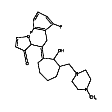 CN1CCN(CC2CCCCC(=C(Cc3c(F)cccc3F)C3OC=CC3=O)C2O)CC1